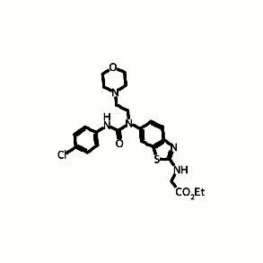 CCOC(=O)CNc1nc2ccc(N(CCN3CCOCC3)C(=O)Nc3ccc(Cl)cc3)cc2s1